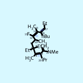 C=C(NC)/C(=C(/C)C(CC)(CC)CC(C)/C(F)=C(C)\C(=C/CC)CCCC)C(C)C